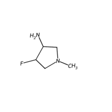 CN1CC(N)C(F)C1